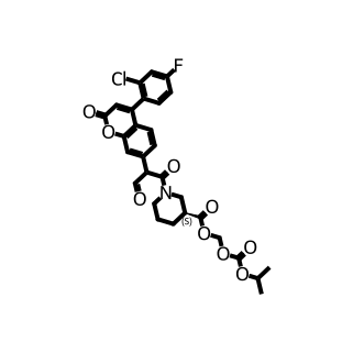 CC(C)OC(=O)OCOC(=O)[C@H]1CCCN(C(=O)C(C=O)c2ccc3c(-c4ccc(F)cc4Cl)cc(=O)oc3c2)C1